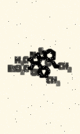 C=CCOc1cc(C)ccc1-c1c(C(O)C(=O)OCC)c(C)nc2sc3c(c12)CCCC3